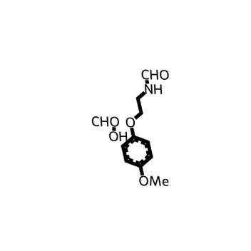 COc1ccc(OCCNC=O)cc1.O=CO